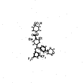 CCC1CC(N(Cc2cc(C(F)(F)F)cc(C(F)(F)F)c2)c2ncc(N3CCOCC3)cn2)C[C@H](CC)N1C(=O)O[C@H]1CC[C@H](C(=O)O)CC1